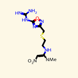 CNC(=C[N+](=O)[O-])NCCSCc1noc(NC(=N)N)n1